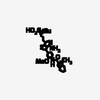 COc1cc(-c2csc3c(/C=C/CN(C(=O)O)C(C)(C)C)cnc(N)c23)ccc1NC(=O)c1cc2ccccc2n1C